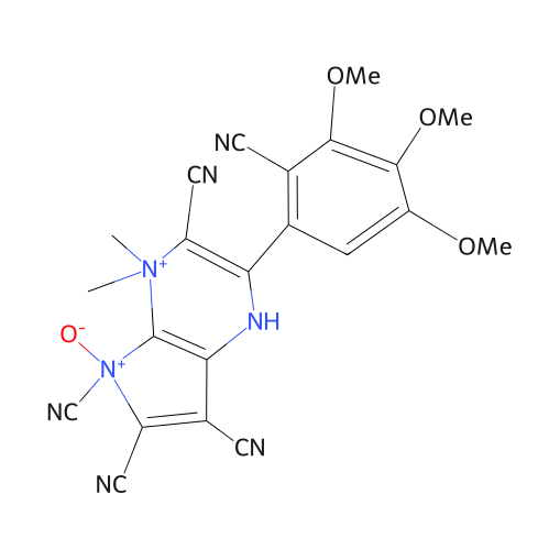 COc1cc(C2=C(C#N)[N+](C)(C)C3=C(N2)C(C#N)=C(C#N)[N+]3([O-])C#N)c(C#N)c(OC)c1OC